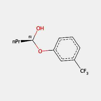 CCC[C@@H](O)Oc1cccc(C(F)(F)F)c1